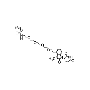 Cn1c(=O)n(C2CCC(=O)NC2=O)c2cccc(CCOCCOCCOCCOCCNC(=O)OC(C)(C)C)c21